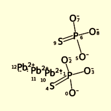 [O-]P([O-])([O-])=S.[O-]P([O-])([O-])=S.[Pb+2].[Pb+2].[Pb+2]